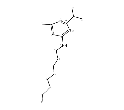 CCCCCCCCNc1cc(C)nc(C(C)C)n1